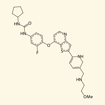 COCCNCC1=CC=C(c2cc3nccc(Oc4ccc(NC(=O)NC5CCCC5)cc4F)c3s2)NC1